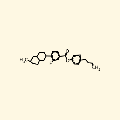 C=CCCc1ccc(OC(=O)c2ccc(C3CCC4CC(C)CCC4C3)c(F)c2)cc1